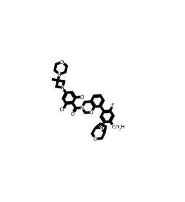 CC1(N2CCOCC2)CN(c2cc(Cl)c(C(=O)N3COc4c(cccc4-c4cc(N5C6CCC5COC6)c(C(=O)O)cc4F)C3)c(Cl)c2)C1